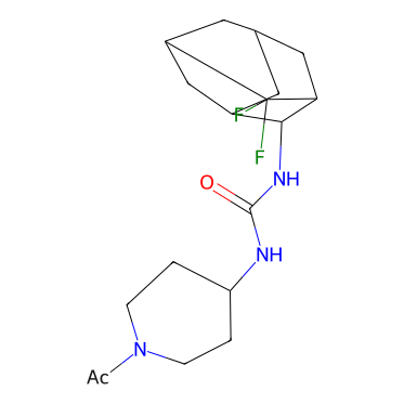 CC(=O)N1CCC(NC(=O)NC2C3CC4CC(C3)C(F)(F)C2C4)CC1